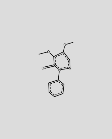 COc1cnn(-c2ccccc2)c(=O)c1OC